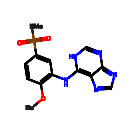 CCC(C)Oc1ccc(S(=O)(=O)NC)cc1Nc1[nH]cnc2ncnc1-2